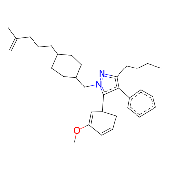 C=C(C)CCCC1CCC(Cn2nc(CCCC)c(-c3ccccc3)c2C2C=C(OC)C=CC2)CC1